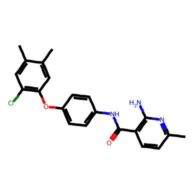 Cc1ccc(C(=O)Nc2ccc(Oc3cc(C)c(C)cc3Cl)cc2)c(N)n1